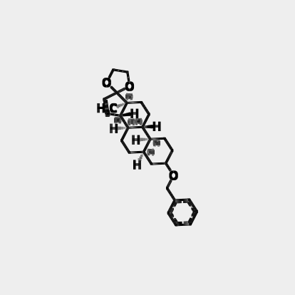 C[C@]12CC[C@H]3[C@@H](CC[C@@H]4CC(OCc5ccccc5)CC[C@@H]43)[C@@H]1C=CC21OCCO1